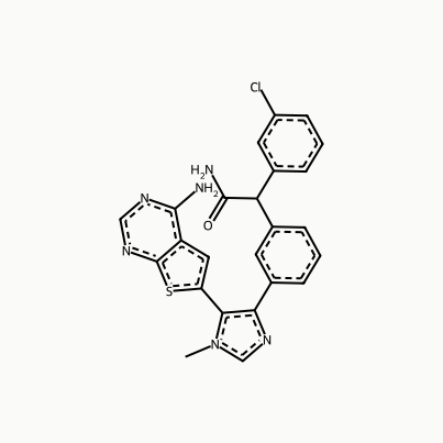 Cn1cnc(-c2cccc(C(C(N)=O)c3cccc(Cl)c3)c2)c1-c1cc2c(N)ncnc2s1